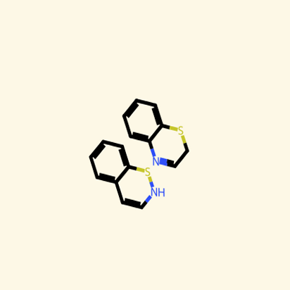 C1=Cc2ccccc2SN1.C1=Nc2ccccc2SC1